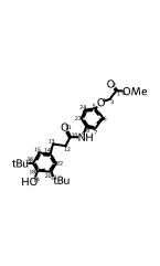 COC(=O)COc1ccc(NC(=O)CCc2cc(C(C)(C)C)c(O)c(C(C)(C)C)c2)cc1